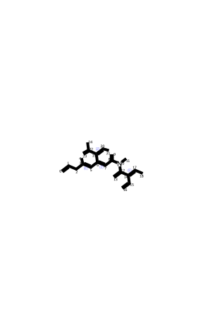 C=CC/C(C)=C/C(=C/C(=C)N(C)C(=C)/C(C=C)=C/C)C(=C\C)/C(=C)C